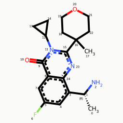 C[C@@H](N)c1cc(F)cc2c(=O)n(C3CC3)c(C3(C)CCOCC3)nc12